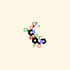 O=C(O)[C@@H]1CCCN1C(=O)c1cc(Cl)c(Oc2cnc(OCC(F)(F)F)c(Cl)c2)cc1F